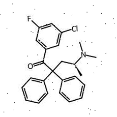 C[C@@H](CC(C(=O)c1cc(F)cc(Cl)c1)(c1ccccc1)c1ccccc1)N(C)C